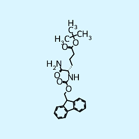 CC(C)(C)OC(=O)CCC[C@H](NC(=O)OCC1c2ccccc2-c2ccccc21)C(N)=O